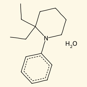 CCC1(CC)CCCCN1c1ccccc1.O